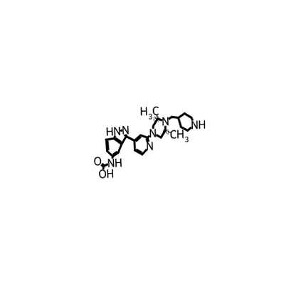 C[C@@H]1CN(c2cc(-c3n[nH]c4ccc(NC(=O)O)cc34)ccn2)C[C@H](C)N1CC1CCNCC1